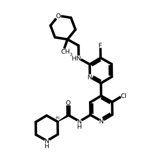 CC1(CNc2nc(-c3cc(NC(=O)[C@@H]4CCCNC4)ncc3Cl)ccc2F)CCOCC1